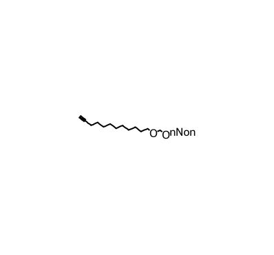 C#CCCCCCCCCCCOCOCCCCCCCCC